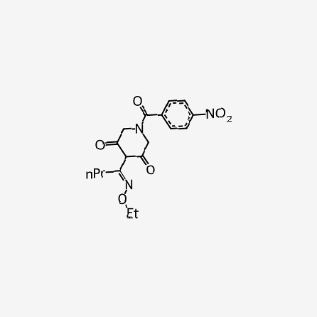 CCCC(=NOCC)C1C(=O)CN(C(=O)c2ccc([N+](=O)[O-])cc2)CC1=O